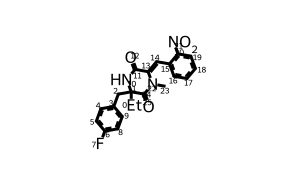 CCC1(Cc2ccc(F)cc2)NC(=O)C(=Cc2ccccc2[N+](=O)[O-])N(C)C1=O